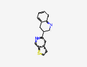 [C]1N=C2CC=CC=C2CC1c1cc2ccsc2cn1